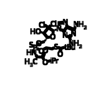 CC(C)OC(=O)[C@H](C)N[P@](=S)(OCCSC(=O)C(C)(C)C)OC[C@H]1O[C@@H](n2cnc3c(N)nc(N)nc32)C(Cl)(Cl)[C@@H]1O